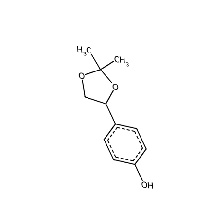 CC1(C)OCC(c2ccc(O)cc2)O1